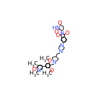 COc1cc(-c2cc(C)c(=O)n(C)c2)cc(OC)c1CN1CCC(CCN2CCN(c3ccc4c(c3)C(=O)N(C3CCC(=O)NC3=O)C4=O)CC2)CC1